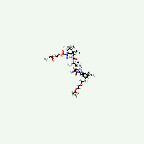 C=CC(=O)OCCOC(=O)NC1CC(C)(C)CC(C)(CNC(=O)OC(C)(C)C(C)OC(C)(C)C(=O)NCC2(C)CC(NC(=O)OCCOC(=O)C=C)CC(C)(C)C2)C1